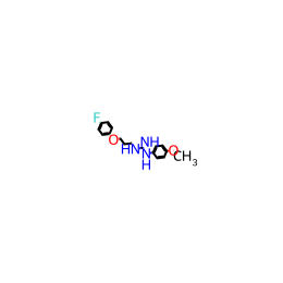 COc1ccc(NC(=N)NCCCOc2ccc(F)cc2)cc1